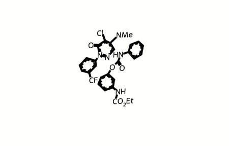 CCOC(=O)Nc1cccc(OC(=O)Nc2ccccc2)c1.CNc1cnn(-c2cccc(C(F)(F)F)c2)c(=O)c1Cl